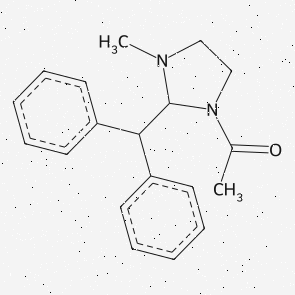 CC(=O)N1CCN(C)C1C(c1ccccc1)c1ccccc1